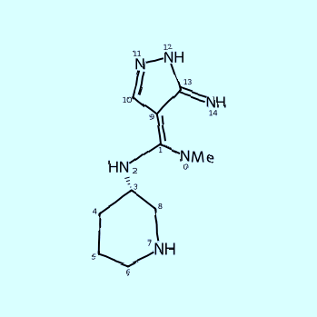 CN/C(N[C@H]1CCCNC1)=C1/C=NNC1=N